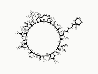 CC[C@@H]1NC(=O)[C@H]([C@H](O[Si](C)(C)C)[C@H](C)CCO)N(C)C(=O)[C@H](C(C)C)N(C)C(=O)[C@H](CC(C)C)N(C)C(=O)[C@H](CC(C)C)NC(=O)[C@@H](C)NC(=O)[C@H](C)NC(=O)[C@H](CC(C)C)N(C)C(=O)[C@H](C(C)C)NC(=O)[C@H]([C@@H](C)OCCCC[N+]2([O-])CCOCC2)N(C)C(=O)[C@@H](C)N(C)C1=O